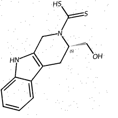 OC[C@@H]1Cc2c([nH]c3ccccc23)CN1C(=S)S